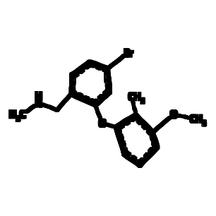 CNCc1ccc(Br)cc1Oc1cccc(OC)c1C